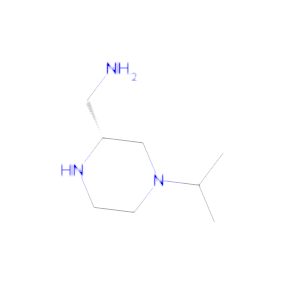 CC(C)N1CCN[C@H](CN)C1